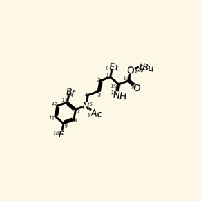 CCC(C=CCN(C(C)=O)c1cc(F)ccc1Br)C(=N)C(=O)OC(C)(C)C